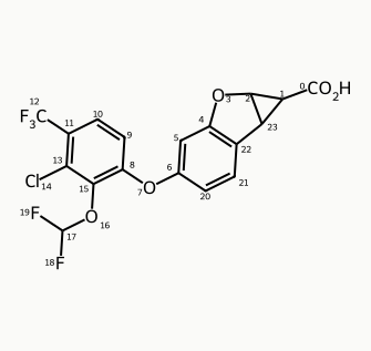 O=C(O)C1C2Oc3cc(Oc4ccc(C(F)(F)F)c(Cl)c4OC(F)F)ccc3C21